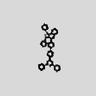 c1ccc(-c2cc(-c3ccc(-c4ccc(-c5cc6ccccc6c6c5c(-c5ccccc5)nn6-c5ccccc5)cc4)cc3)cc(-c3ccccc3)n2)cc1